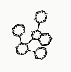 c1ccc(-c2cccc(-c3ccccc3)c2-c2oc(-c3ccccc3)c3ccccc23)cc1